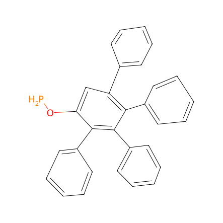 POc1cc(-c2ccccc2)c(-c2ccccc2)c(-c2ccccc2)c1-c1ccccc1